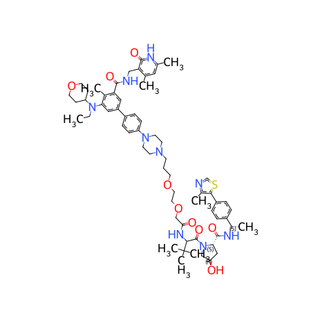 CCN(c1cc(-c2ccc(N3CCN(CCCOCCOCC(=O)NC(C(=O)N4C[C@H](O)C[C@H]4C(=O)N[C@@H](C)c4ccc(-c5scnc5C)cc4)C(C)(C)C)CC3)cc2)cc(C(=O)NCc2c(C)cc(C)[nH]c2=O)c1C)C1CCOCC1